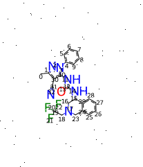 Cc1nn(-c2ccccc2)c(NC(=O)NC2CN(CC(F)(F)F)Cc3ccccc32)c1C#N